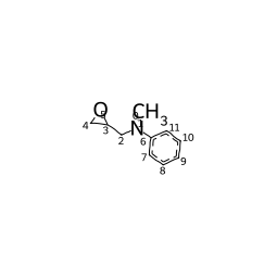 CN(CC1CO1)c1ccccc1